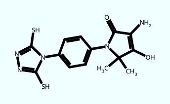 CC1(C)C(O)=C(N)C(=O)N1c1ccc(-n2c(S)nnc2S)cc1